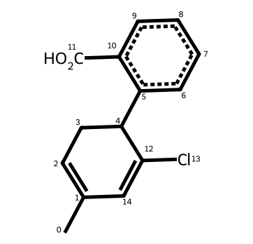 CC1=CCC(c2ccccc2C(=O)O)C(Cl)=C1